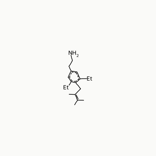 CCc1cc(CCN)cc(CC)c1CC(C)=C(C)C